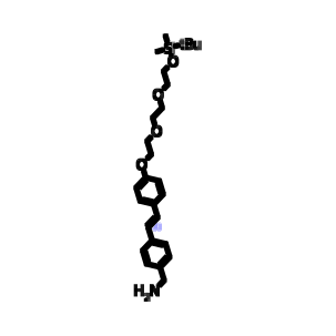 CC(C)(C)[Si](C)(C)OCCOCCOCCOc1ccc(/C=C/c2ccc(CN)cc2)cc1